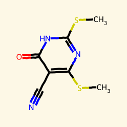 CSc1nc(SC)c(C#N)c(=O)[nH]1